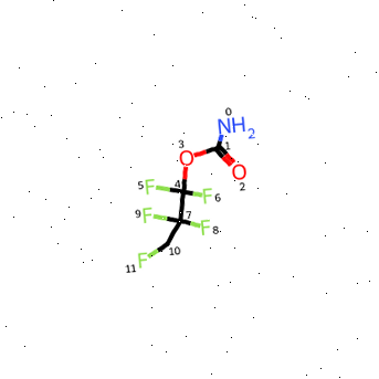 NC(=O)OC(F)(F)C(F)(F)CF